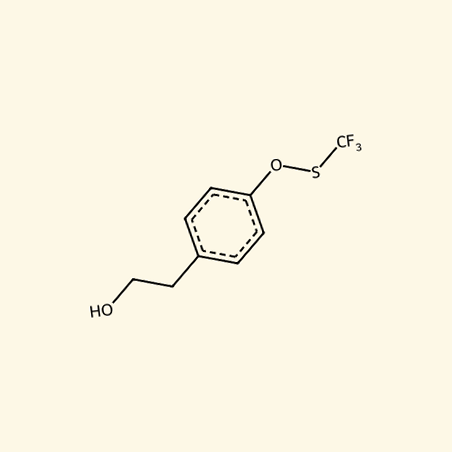 OCCc1ccc(OSC(F)(F)F)cc1